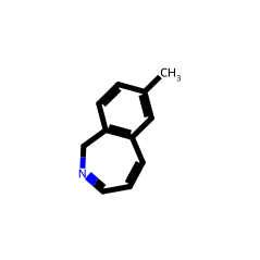 Cc1ccc2c(c1)C=CC=NC2